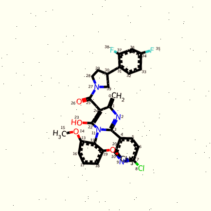 C=C1N=C(c2ccc(Cl)nc2)N(c2c(OC)cccc2OC)C(O)=C1C(=O)N1CCC(c2ccc(F)cc2F)C1